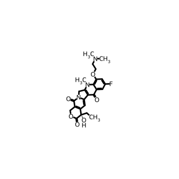 CC[C@@]1(O)C(=O)OCc2c1cc1n(c2=O)Cc2c-1c(=O)c1cc(F)cc(OCCN(C)C)c1n2C